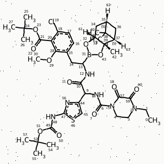 CCN1CCN(C(=O)NC(C(=O)NC(Cc2ccc(Cl)c(C(=O)OC(C)(C)C)c2OC)B2O[C@@H]3C[C@@H]4C[C@@H](C4(C)C)[C@]3(C)O2)c2csc(NC(=O)OC(C)(C)C)n2)C(=O)C1=O